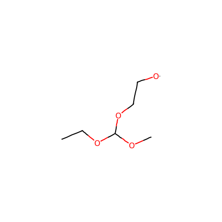 CCOC(OC)OCC[O]